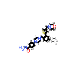 CC1(C)CCC(CN2CCN(c3ccc(C(N)=O)cc3)CC2)=C(c2cc(CN3CCOCC3)cs2)C1